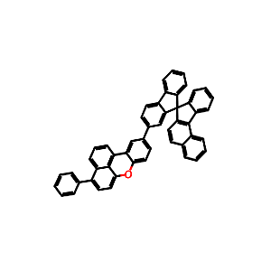 c1ccc(-c2ccc3c4c(cccc24)-c2cc(-c4ccc5c(c4)C4(c6ccccc6-5)c5ccccc5-c5c4ccc4ccccc54)ccc2O3)cc1